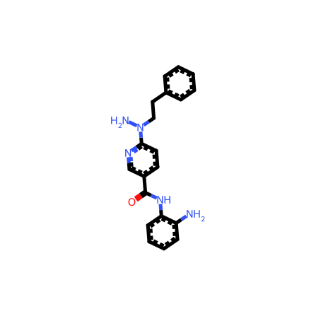 Nc1ccccc1NC(=O)c1ccc(N(N)CCc2ccccc2)nc1